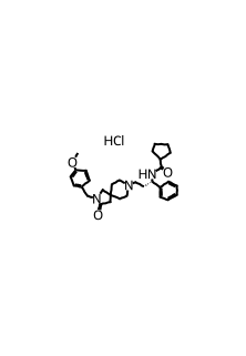 COc1ccc(CN2CC3(CCN(CC[C@H](NC(=O)C4CCCC4)c4ccccc4)CC3)CC2=O)cc1.Cl